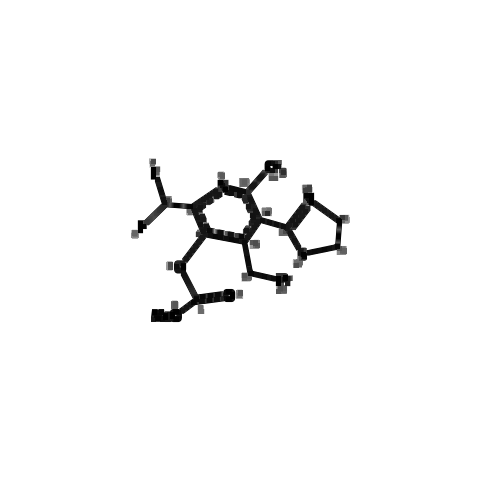 COC(=O)Oc1c(C(F)F)nc(C(F)(F)F)c(C2=NCCS2)c1CC(C)C